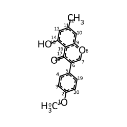 COc1ccc(-c2coc3cc(C)cc(O)c3c2=O)cc1